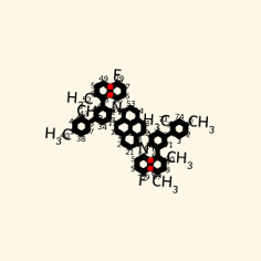 Cc1ccc(-c2ccc(N(C3=C4C=CC5=C6C(=CC=C(C=C3)C46)C(N(c3ccc(F)cc3)c3ccc(-c4ccc(C)cc4C)cc3-c3ccccc3C)C=C5)c3ccc(F)cc3)c(-c3ccc(C)cc3C)c2)c(C)c1